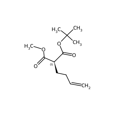 C=CCC[C@@H](C(=O)OC)C(=O)OC(C)(C)C